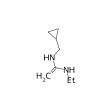 C=C(NCC)NCC1CC1